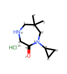 CC1(C)CNCC(=O)N(C2CC2)C1.Cl